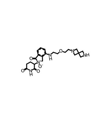 O=C1CCC([N+]2([O-])Cc3c(NCCOCCN4CC5(CNC5)C4)cccc3C2=O)C(=O)N1